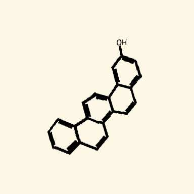 Oc1ccc2ccc3c(ccc4c5ccccc5ccc43)c2c1